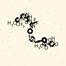 Cn1c(=O)n(C2CCC(=O)NC2=O)c2cccc(C#CCN3CCN(C[C@H]4CC[C@H](n5cc(NC(=O)c6cnn7ccc(N8CCC(C)(C)C8)nc67)c(C(F)F)n5)CC4)CC3)c21